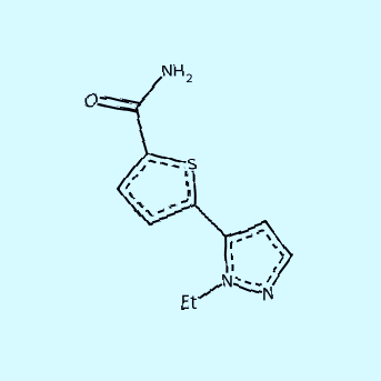 CCn1nccc1-c1ccc(C(N)=O)s1